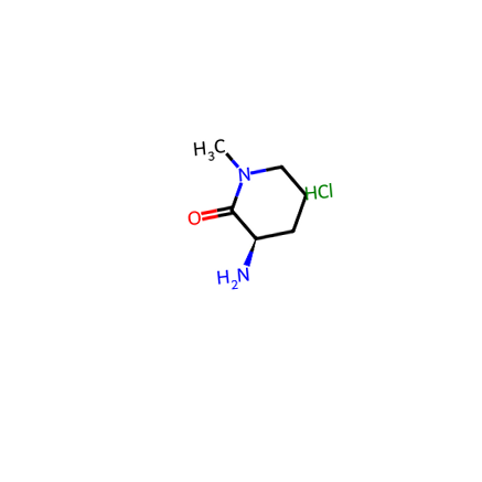 CN1CCC[C@@H](N)C1=O.Cl